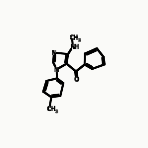 CNc1ncn(-c2ccc(C)cc2)c1C(=O)c1ccccc1